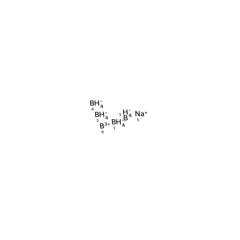 [B+3].[BH4-].[BH4-].[BH4-].[BH4-].[Na+]